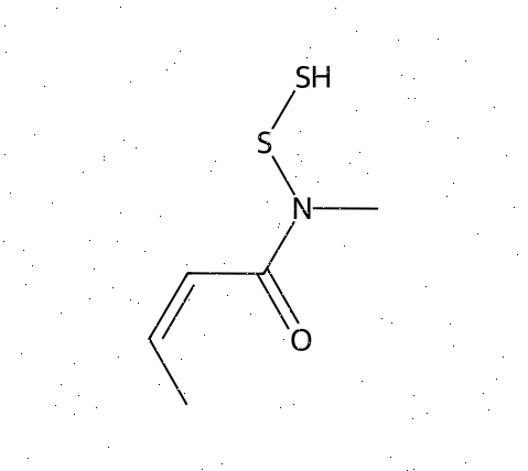 C/C=C\C(=O)N(C)SS